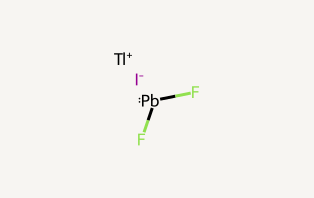 [F][Pb][F].[I-].[Tl+]